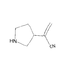 C=C(C#N)C1CCNC1